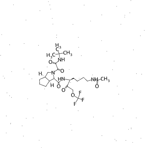 CC(=O)NCCCC[C@H](NC(=O)C1[C@H]2CCC[C@H]2CN1C(=O)C(=O)NC(C)(C)C)C(=O)COC(F)(F)F